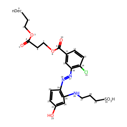 CCCCCCCCCCCCOC(=O)CCOC(=O)c1ccc(Cl)c(N=Nc2ccc(O)cc2NCCCS(=O)(=O)O)c1